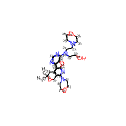 CC1(C)Cc2c(c(N3CCOCC3)nc3oc4c(N(CCO)CCN5CCOCC5)ncnc4c23)CO1